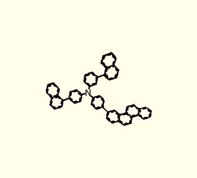 c1cc(-c2cccc3ccccc23)cc(N(c2ccc(-c3ccc4ccc5c6ccccc6ccc5c4c3)cc2)c2ccc(-c3cccc4ccccc34)cc2)c1